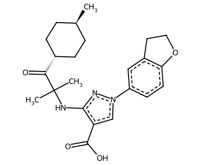 CC(C)(Nc1nn(-c2ccc3c(c2)CCO3)cc1C(=O)O)C(=O)[C@H]1CC[C@H](C)CC1